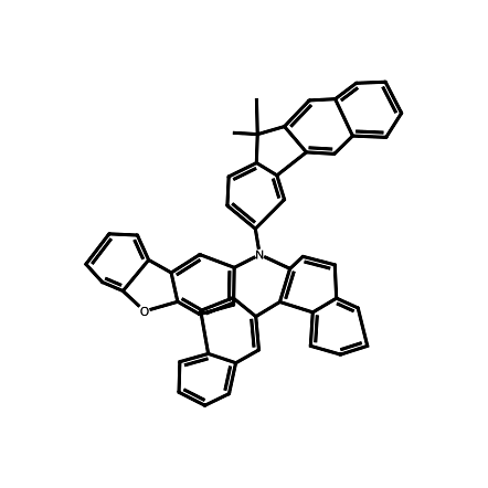 CC1(C)c2ccc(N(c3ccc4oc5ccccc5c4c3)c3ccc4ccccc4c3-c3ccc4ccccc4c3)cc2-c2cc3ccccc3cc21